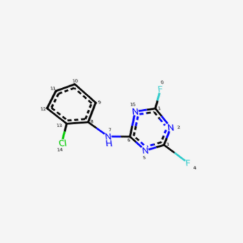 Fc1nc(F)nc(Nc2ccccc2Cl)n1